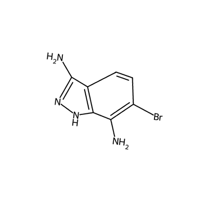 Nc1n[nH]c2c(N)c(Br)ccc12